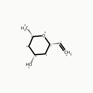 C=C[C@@H]1C[C@H](O)C[C@H](C)O1